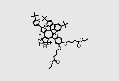 CCOC(=O)CCCOc1cc2oc3c(c2cc1OCCCC(=O)OCC)C1=C(c2cc(-c4ccc(C(C)(C)C)s4)sc2C3(c2ccc(C(C)(C)C)cc2)c2sc(C(C)(C)C)cc2C)C(F)(F)C(F)(F)C1(F)F